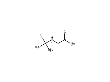 CCCCC(CC)CPC(C)(CC)CCCC